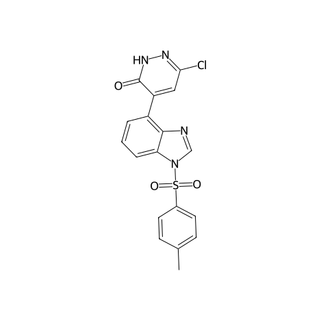 Cc1ccc(S(=O)(=O)n2cnc3c(-c4cc(Cl)n[nH]c4=O)cccc32)cc1